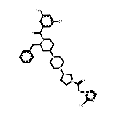 Cc1nccn1CC(=O)N1CCC(N2CCN(C3CCN(C(=O)c4cc(C(F)(F)F)cc(C(F)(F)F)c4)C(Cc4ccccc4)C3)CC2)C1